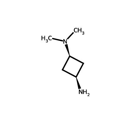 CN(C)[C@H]1C[C@@H](N)C1